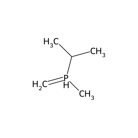 C=[PH](C)C(C)C